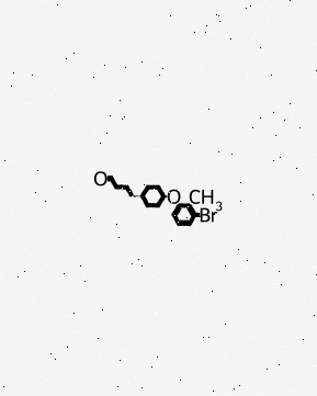 Cc1c(Br)cccc1O[C@H]1CC[C@@H](CCCC=O)CC1